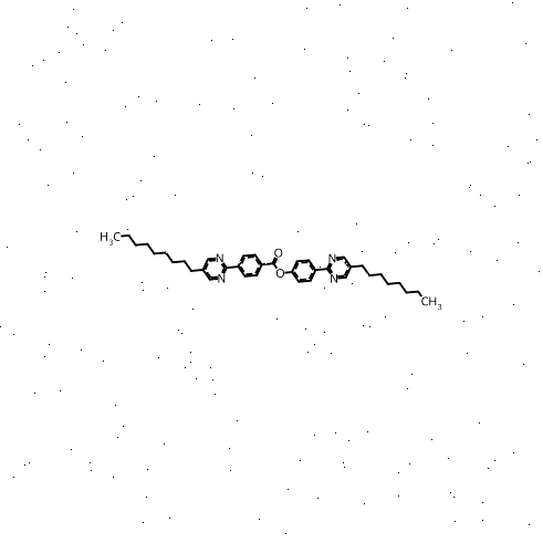 CCCCCCCCCc1cnc(-c2ccc(C(=O)Oc3ccc(-c4ncc(CCCCCCCC)cn4)cc3)cc2)nc1